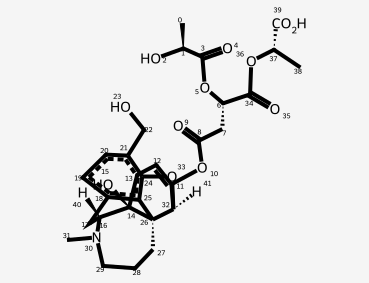 C[C@H](O)C(=O)O[C@@H](CC(=O)OC1=CC[C@@]2(O)[C@H]3Cc4ccc(CO)c5c4[C@@]2(CCCN3C)[C@H]1O5)C(=O)O[C@@H](C)C(=O)O